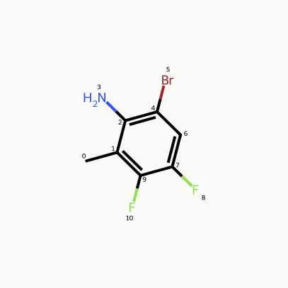 Cc1c(N)c(Br)cc(F)c1F